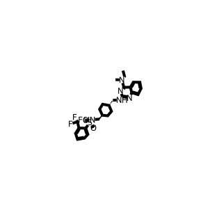 CCN(C)c1nc(NC[C@H]2CC[C@H](CNS(=O)(=O)c3ccccc3C(F)(F)F)CC2)nc2ccccc12